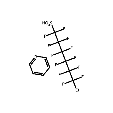 CCC(F)(F)C(F)(F)C(F)(F)C(F)(F)C(F)(F)C(F)(F)S(=O)(=O)O.c1ccncc1